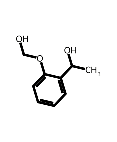 CC(O)c1ccccc1OCO